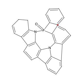 O=P1(c2ccccc2)c2cccc3c4cccc5c6ccc7c8c(n1c7c6n(c23)c45)CCC=C8